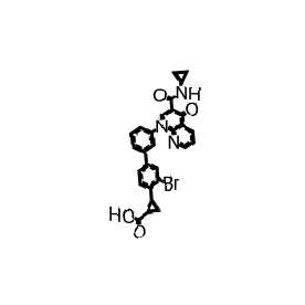 O=C(NC1CC1)c1cn(-c2cccc(-c3ccc(C4CC4C(=O)O)c(Br)c3)c2)c2ncccc2c1=O